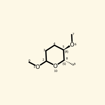 COC1CC[C@@H](OC)[C@H](C)O1